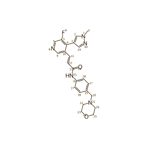 Cn1cc(-c2c(F)cncc2C=CC(=O)Nc2ccc(CN3CCOCC3)cc2)cn1